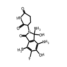 Bc1c(F)c(O)c(N)c2c1C(=O)N(C1CCC(=O)NC1=O)C2(B)O